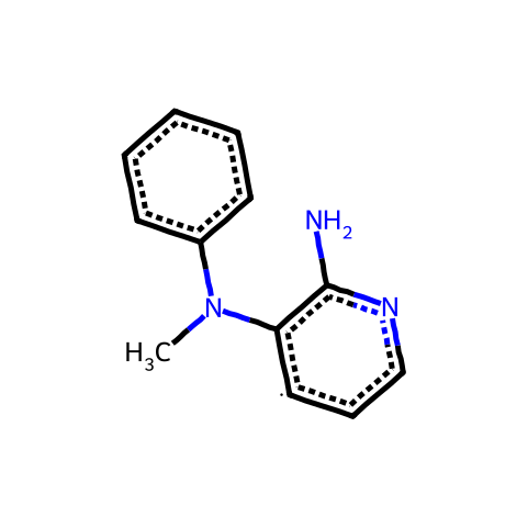 CN(c1ccccc1)c1[c]ccnc1N